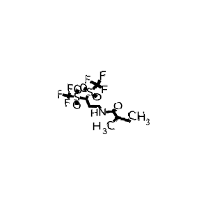 CCC(C)C(=O)NCCC(S(=O)(=O)C(F)(F)F)S(=O)(=O)C(F)(F)F